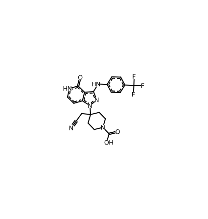 N#CCC1(n2nc(Nc3ccc(C(F)(F)F)cc3)c3c(=O)[nH]ccc32)CCN(C(=O)O)CC1